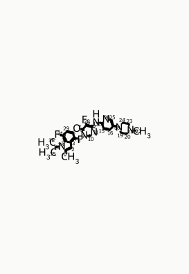 Cc1cc2c(F)c(Oc3ncnc(Nc4ccc(N5CCN(C)CC5)cn4)c3F)cc(F)c2n1C(C)C